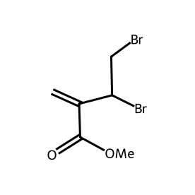 C=C(C(=O)OC)C(Br)CBr